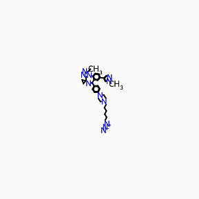 Cc1nnc2n1-c1ccc(-c3cnn(C)c3)cc1C(c1ccc(N3CCN(CCCCCCN=[N+]=[N-])CC3)cc1)=NC21CC1